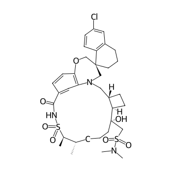 C[C@@H]1[C@@H](C)CCC[C@](O)(CS(=O)(=O)N(C)C)[C@@H]2CC[C@H]2CN2C[C@@]3(CCCc4cc(Cl)ccc43)COc3ccc(cc32)C(=O)NS1(=O)=O